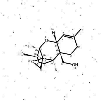 CC1=C[C@H]2O[C@@H]3[C@H](O)CC[C@](C)([C@@]2(CO)CC1)[C@@]31CO1